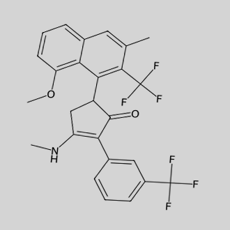 CNC1=C(c2cccc(C(F)(F)F)c2)C(=O)C(c2c(C(F)(F)F)c(C)cc3cccc(OC)c23)C1